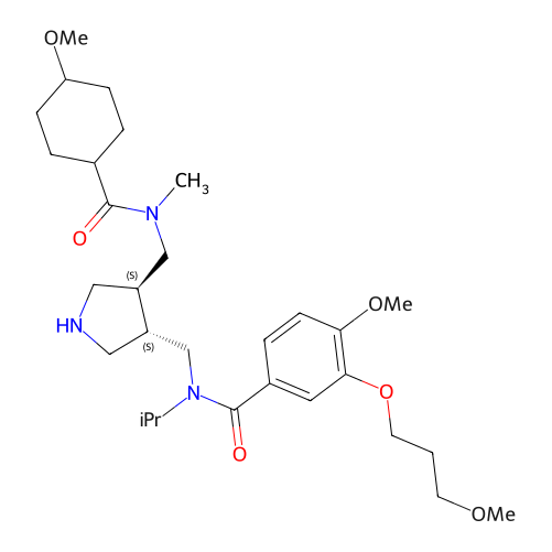 COCCCOc1cc(C(=O)N(C[C@@H]2CNC[C@H]2CN(C)C(=O)C2CCC(OC)CC2)C(C)C)ccc1OC